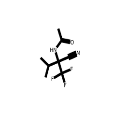 CC(=O)NC(C#N)(C(C)C)C(F)(F)F